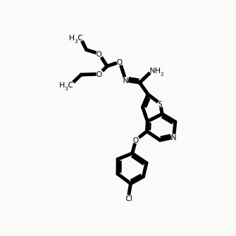 CCOC(OCC)ON=C(N)c1cc2c(Oc3ccc(Cl)cc3)cncc2s1